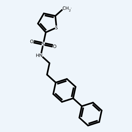 [CH2]c1ccc(S(=O)(=O)NCCc2ccc(-c3ccccc3)cc2)s1